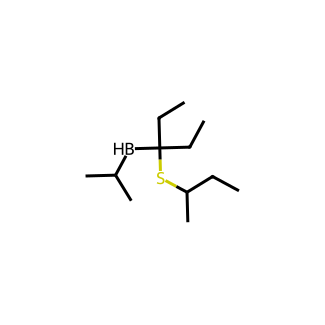 CCC(C)SC(BC(C)C)(CC)CC